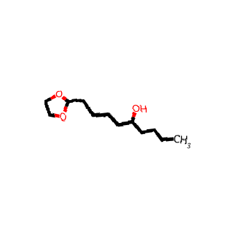 CCCCC(O)CCCCC1OCCO1